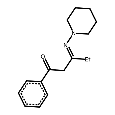 CCC(CC(=O)c1ccccc1)=NN1CCCCC1